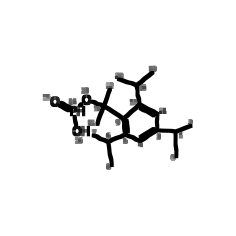 CC(C)c1cc(C(C)C)c(C(C)(C)O[PH](=O)O)c(C(C)C)c1